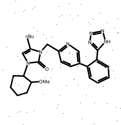 CCCCc1cn(C2CCCCC2OC)c(=O)n1Cc1ccc(-c2ccccc2-c2nnn[nH]2)cn1